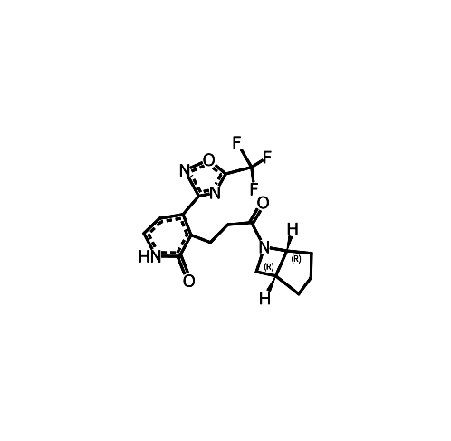 O=C(CCc1c(-c2noc(C(F)(F)F)n2)cc[nH]c1=O)N1C[C@H]2CCC[C@H]21